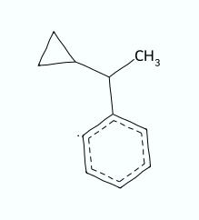 CC(c1[c]cccc1)C1CC1